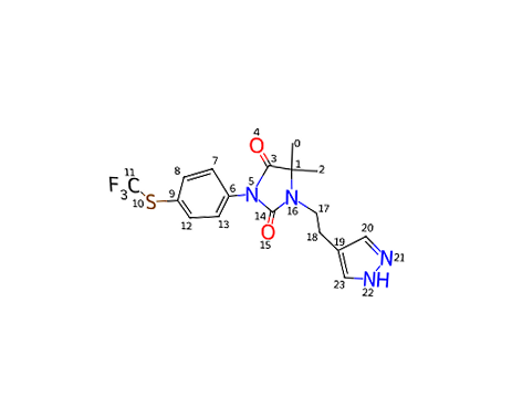 CC1(C)C(=O)N(c2ccc(SC(F)(F)F)cc2)C(=O)N1CCc1cn[nH]c1